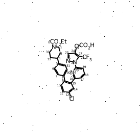 CCOC(=O)N1CCC(c2ccc(-c3ccc(Cl)cc3-c3cccc(-n4ncc(OC(=O)O)c4C(F)(F)F)n3)cc2)CC1